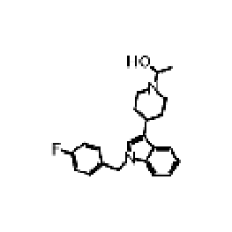 C[C](O)N1CCC(c2cn(Cc3ccc(F)cc3)c3ccccc23)CC1